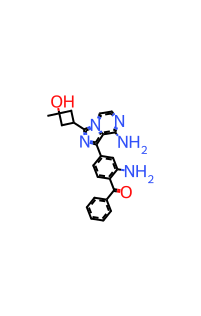 CC1(O)CC(c2nc(-c3ccc(C(=O)c4ccccc4)c(N)c3)c3c(N)nccn23)C1